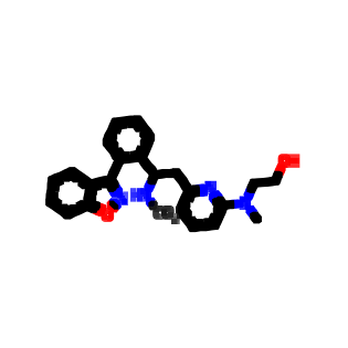 CN(CCO)c1cccc(CC(NC(=O)O)c2ccccc2-c2noc3ccccc23)n1